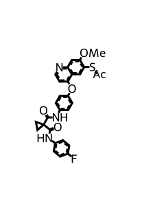 COc1cc2nccc(Oc3ccc(NC(=O)C4(C(=O)Nc5ccc(F)cc5)CC4)cc3)c2cc1SC(C)=O